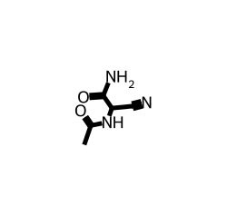 CC(=O)NC(C#N)C(N)=O